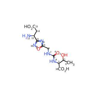 CC(O)C(NC(=O)NCc1nc([C@@H](N)CC(=O)O)no1)C(=O)O